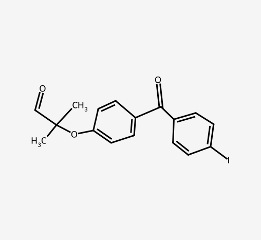 CC(C)(C=O)Oc1ccc(C(=O)c2ccc(I)cc2)cc1